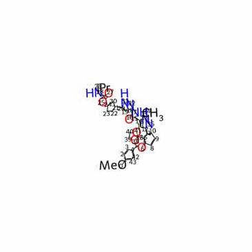 COc1ccc(COc2cccc(-c3cc(C(=O)Nc4cc([C@H]5CC[C@@H](OC(=O)NC(C)C)C5)[nH]n4)n(C)n3)c2C2OCCO2)cc1